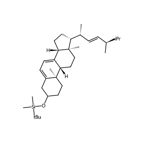 CC(C)[C@@H](C)C=C[C@@H](C)[C@H]1CC[C@H]2C3=CC=C4CC(O[Si](C)(C)C(C)(C)C)CC[C@]4(C)[C@H]3CC[C@]12C